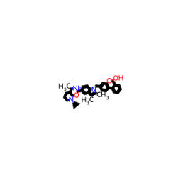 Cc1c(C)n(Cc2ccc(-c3ccccc3C(=O)O)cc2)c2ccc(C(=O)N[C@@H](C)C3CCCN(C4CC4)C3)cc12